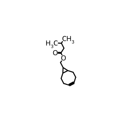 CC(C)CC(=O)OCC1C2CCC#CCCC21